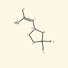 C/C(S)=N/N1CCC(F)(F)C1